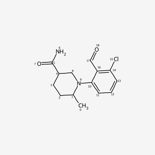 CC1CCC(C(N)=O)CN1c1cccc(Cl)c1C=O